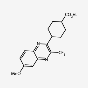 CCOC(=O)C1CCC(c2nc3ccc(OC)cc3nc2C(F)(F)F)CC1